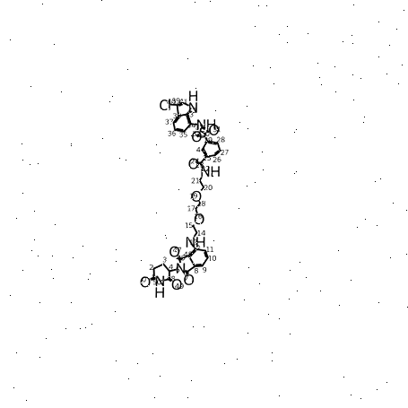 O=C1CCC(N2C(=O)c3cccc(NCCOCCOCCNC(=O)c4cccc(S(=O)(=O)Nc5cccc6c(Cl)c[nH]c56)c4)c3C2=O)C(=O)N1